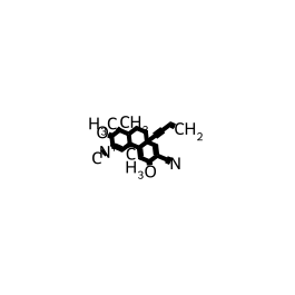 [C-]#[N+]C1=CC2(C)C3=CC(=O)C(C#N)=CC3(C#CC=C)CCC2C(C)(C)C1=O